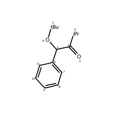 CC(C)C(=O)C(OC(C)(C)C)c1ccccc1